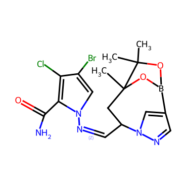 CC1(C)OB2OC1(C)CC(/C=N\n1cc(Br)c(Cl)c1C(N)=O)n1cc2cn1